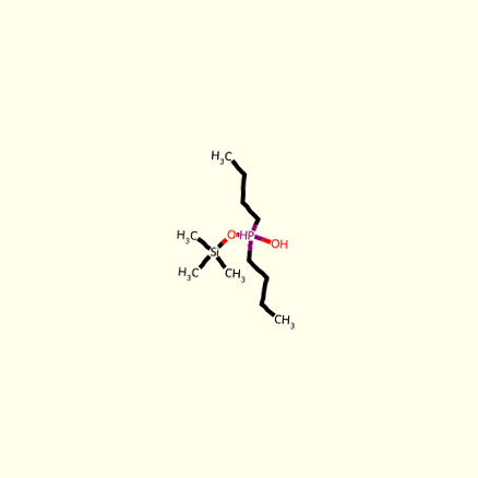 CCCC[PH](O)(CCCC)O[Si](C)(C)C